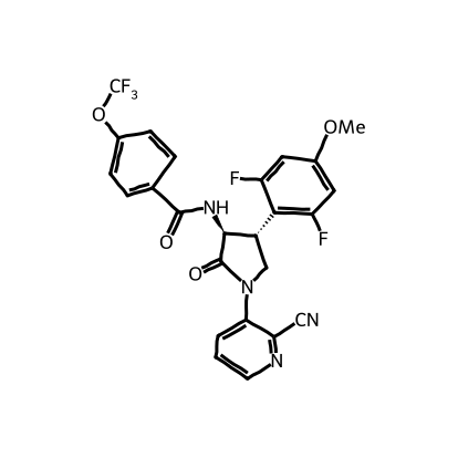 COc1cc(F)c([C@@H]2CN(c3cccnc3C#N)C(=O)[C@H]2NC(=O)c2ccc(OC(F)(F)F)cc2)c(F)c1